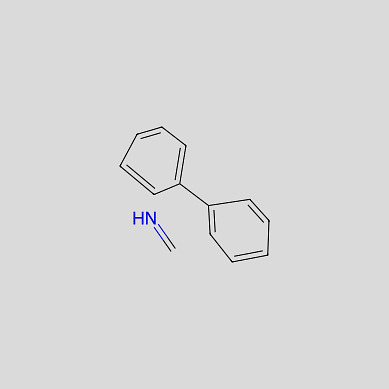 C=N.c1ccc(-c2ccccc2)cc1